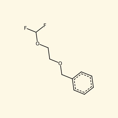 FC(F)OCCOCc1ccccc1